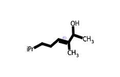 C/C(=C\CCC(C)C)C(C)O